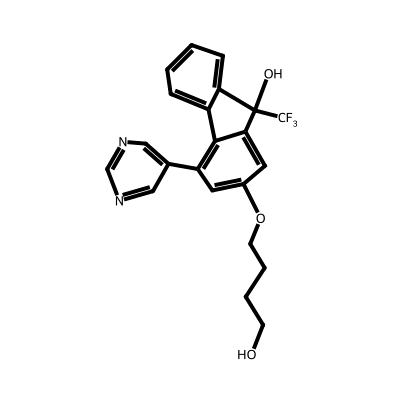 OCCCCOc1cc(-c2cncnc2)c2c(c1)C(O)(C(F)(F)F)c1ccccc1-2